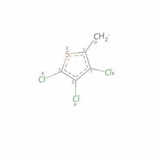 [CH2]c1sc(Cl)c(Cl)c1Cl